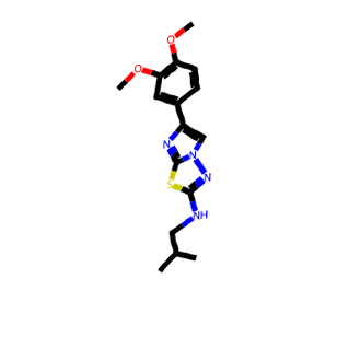 COc1ccc(-c2cn3nc(NCC(C)C)sc3n2)cc1OC